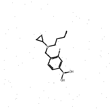 CCCCN(Cc1ccc(B(O)O)cc1F)C1CC1